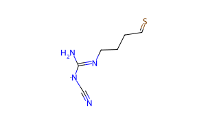 N#C[N]C(N)=NCCCC=S